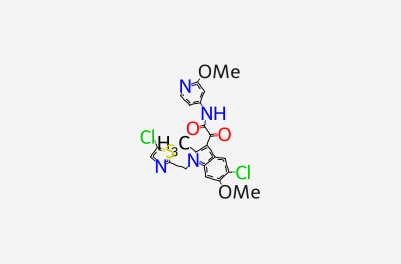 COc1cc(NC(=O)C(=O)c2c(C)n(Cc3ncc(Cl)s3)c3cc(OC)c(Cl)cc23)ccn1